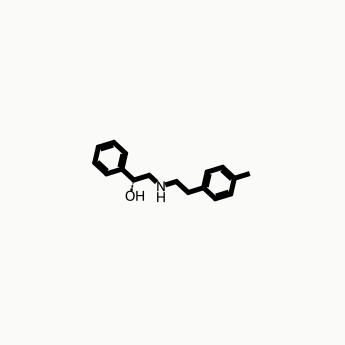 Cc1ccc(CCNC[C@H](O)c2ccccc2)cc1